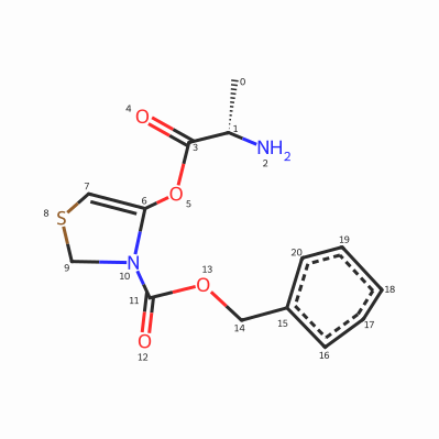 C[C@H](N)C(=O)OC1=CSCN1C(=O)OCc1ccccc1